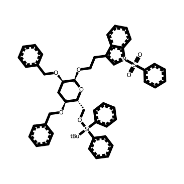 CC(C)(C)[Si](OC[C@H]1O[C@H](OCCc2cn(S(=O)(=O)c3ccccc3)c3ccccc23)[C@H](OCc2ccccc2)C[C@@H]1OCc1ccccc1)(c1ccccc1)c1ccccc1